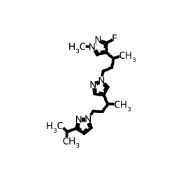 CC(C)c1ccn(CCC(C)c2cnn(CCC(C)c3cn(C)nc3F)c2)n1